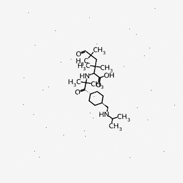 CC(C)NC[C@H]1CC[C@H](C(=O)C(C)(C)NC(C(=O)O)C(C)(C)CC(C)(C)C=O)CC1